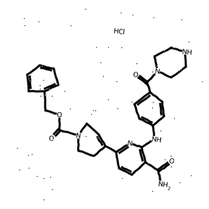 Cl.NC(=O)c1ccc(C2=CCN(C(=O)OCc3ccccc3)CC2)nc1Nc1ccc(C(=O)N2CCNCC2)cc1